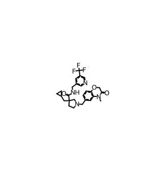 CN1C(=O)COc2ccc(CN3CCC(CC4CC4)(C(=O)NCc4cncc(C(F)(F)F)c4)C3)cc21